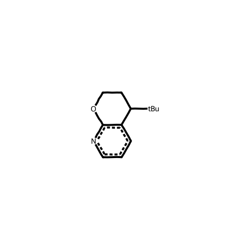 CC(C)(C)C1CCOc2ncccc21